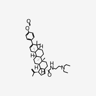 C=C(C)[C@@H]1CC[C@]2(C(=O)NCCN(CC)CC)CC[C@]3(C)[C@H](CC[C@@H]4[C@@]5(C)CC=C(c6ccc(OC=O)cc6)C(C)(C)[C@@H]5CC[C@]43C)[C@@H]12